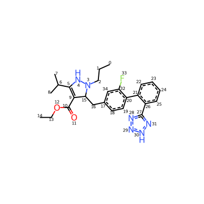 CCCN1NC(C(C)C)=C(C(=O)OCC)C1Cc1ccc(-c2ccccc2-c2nn[nH]n2)c(F)c1